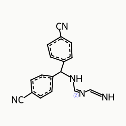 N#Cc1ccc(C(N/C=N\C=N)c2ccc(C#N)cc2)cc1